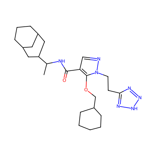 CC(NC(=O)c1cnn(CCc2nn[nH]n2)c1OCC1CCCCC1)C1CC2CCCC(C2)C1